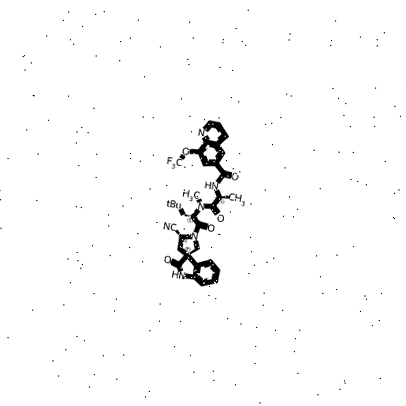 C[C@H](NC(=O)c1cc(OC(F)(F)F)c2ncccc2c1)C(=O)N(C)[C@@H](CC(C)(C)C)C(=O)N1C[C@]2(C[C@H]1C#N)C(=O)Nc1ccccc12